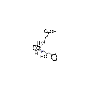 O=C(O)CCCOC[C@@H]1[C@H](/C=C/C(O)Cc2ccccc2)[C@@H]2CC[C@H]1O2